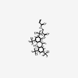 C=CC(=O)OCCC(=O)Oc1c(C(C)c2cc(C(C)(C)CC)cc(C(C)(C)CC)c2O)cc(C(C)(C)CC)cc1C(C)(C)CC